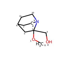 COC1(CO)CC2CCN1CC2